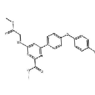 COC(=O)CNc1cc(-c2ccc(Oc3ccc(F)cc3)cc2)nc(C(=O)OC)n1